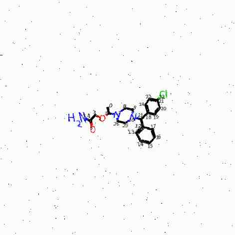 CC(OCC(N)=O)N1CCN(C(c2ccccc2)c2ccc(Cl)cc2)CC1